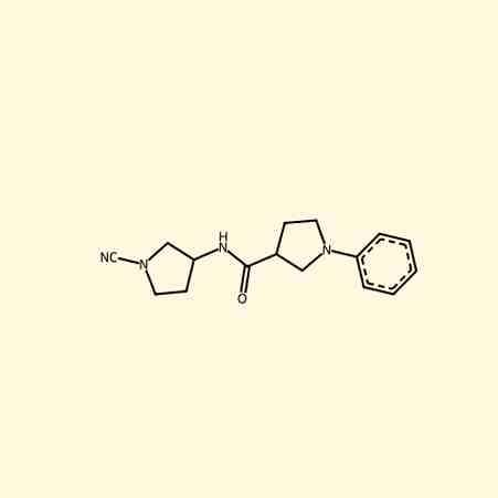 N#CN1CCC(NC(=O)C2CCN(c3ccccc3)C2)C1